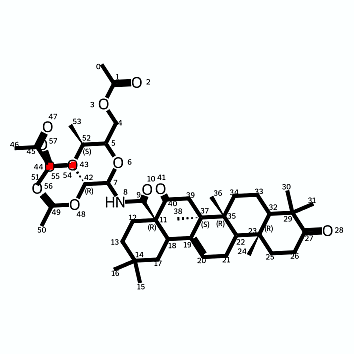 CC(=O)OCC(OC(NC(=O)[C@]12CCC(C)(C)CC1C1=CCC3[C@@]4(C)CCC(=O)C(C)(C)C4CC[C@@]3(C)[C@]1(C)CC2=O)[C@@H](COC(C)=O)OC(C)=O)[C@H](C)OC(C)=O